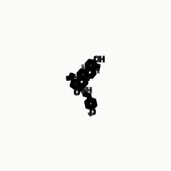 C=C(C)[C@@H]1CC[C@]2(C(=O)NCCc3ccc(OC)cc3)CC[C@]3(C)[C@H](CC[C@@H]4[C@@]5(C)CC[C@H](O)C(=C)[C@@H]5CC[C@]43C)[C@@H]12